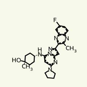 Cc1nc2ccc(F)cc2nc1-c1cc2nc(N3CCCC3)cc(N[C@H]3CC[C@](C)(O)CC3)n2n1